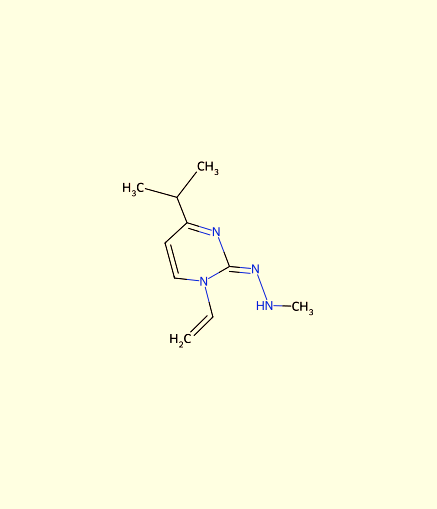 C=Cn1ccc(C(C)C)n/c1=N/NC